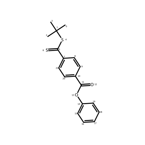 CC(C)(C)SC(=S)c1ccc(C(=O)Oc2ccccc2)cc1